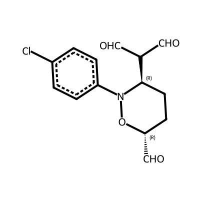 O=CC(C=O)[C@H]1CC[C@H](C=O)ON1c1ccc(Cl)cc1